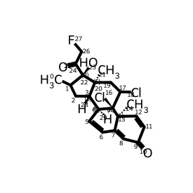 CC1C[C@H]2[C@@H]3C=CC4=CC(=O)C=C[C@]4(C)[C@@]3(Cl)C(Cl)C[C@]2(C)[C@@]1(O)C(=O)CF